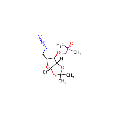 CC[C@@]12O[C@@H](CN=[N+]=[N-])[C@@H](OCP(C)(C)=O)[C@@H]1OC(C)(C)O2